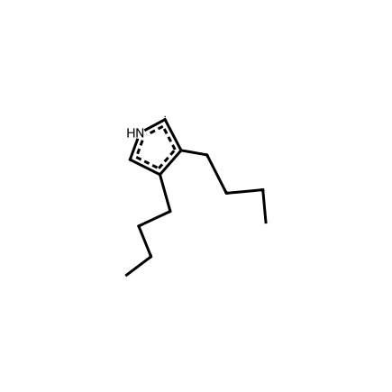 CCCCc1[c][nH]cc1CCCC